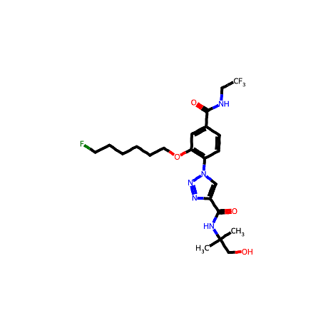 CC(C)(CO)NC(=O)c1cn(-c2ccc(C(=O)NCC(F)(F)F)cc2OCCCCCCF)nn1